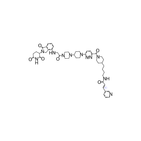 O=C(/C=C/c1cccnc1)NCCCCC1CCN(C(=O)c2ccc(N3CCC(N4CCN(C(=O)CNc5cccc6c5CN(C5CCC(=O)NC5=O)C6=O)CC4)CC3)nn2)CC1